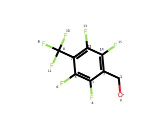 [O]Cc1c(F)c(F)c(C(F)(F)F)c(F)c1F